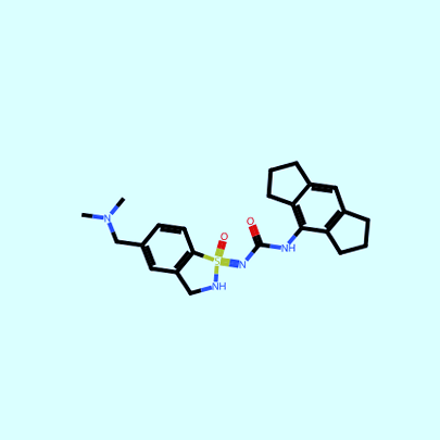 CN(C)Cc1ccc2c(c1)CNS2(=O)=NC(=O)Nc1c2c(cc3c1CCC3)CCC2